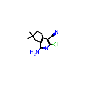 CC1(C)CCc2c(C#N)c(Cl)nc(N)c2C1